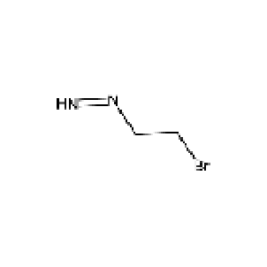 N=NCCBr